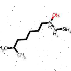 CC(C)CCCCC[SiH](O)[SiH2][SiH3]